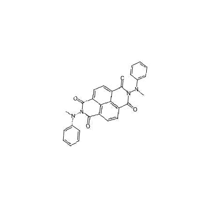 CN(c1ccccc1)N1C(=O)c2ccc3c4c(ccc(c24)C1=O)C(=O)N(N(C)c1ccccc1)C3=O